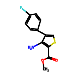 COC(=O)c1scc(-c2ccc(F)cc2)c1N